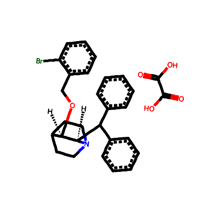 Brc1ccccc1CO[C@@H]1C2CCN(CC2)[C@@H]1C(c1ccccc1)c1ccccc1.O=C(O)C(=O)O